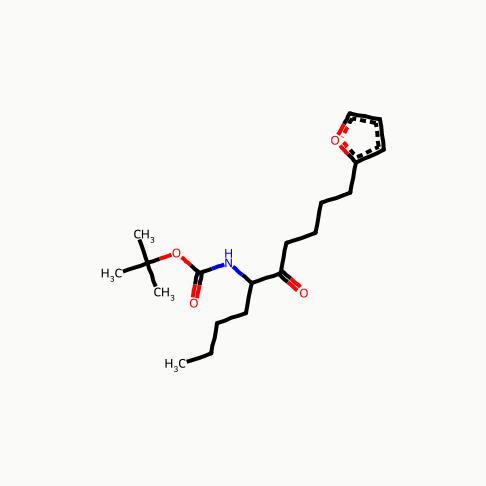 CCCCC(NC(=O)OC(C)(C)C)C(=O)CCCCc1ccco1